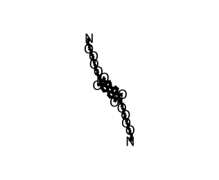 N#CCCOCCOCCOCCOCCCN1C(=O)c2ccc3c4c(c5c6c7c(ccc63)C(=O)N(CCCOCCOCCOCCOCCC#N)C(=O)C7C=C5)C=CC(C1=O)c24